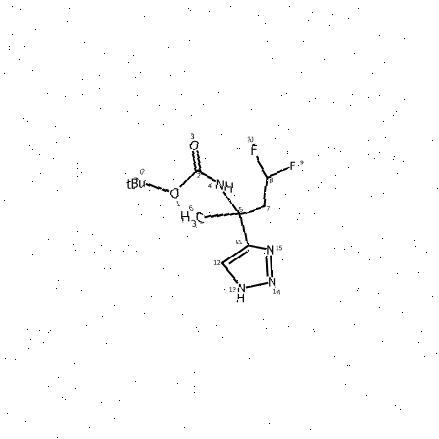 CC(C)(C)OC(=O)NC(C)(CC(F)F)c1c[nH]nn1